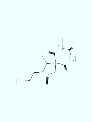 C=CCC1(C(C)CCCO)C(=O)NC(=O)NC1=O